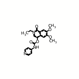 CCn1cc(OC(=O)Nc2ccncc2)c2cc(OC)c(OC)cc2c1=O